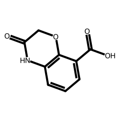 O=C1COc2c(cccc2C(=O)O)N1